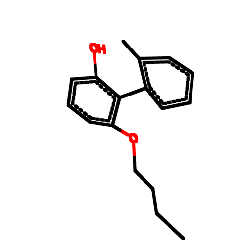 CCCCOc1cccc(O)c1-c1ccccc1C